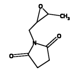 CC1OC1CN1C(=O)CCC1=O